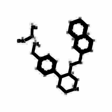 CC(C)(C)OC=O.NCc1ccc(C2CCNCC2OCc2ccc3ccccc3c2)cc1